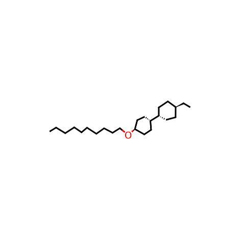 CCCCCCCCCCO[C@H]1CC[C@H]([C@H]2CC[C@H](CC)CC2)CC1